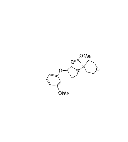 COC(=O)C1(N2CC[C@@H](Oc3cccc(OC)c3)C2)CCOCC1